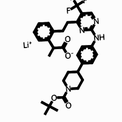 CC(C(=O)[O-])c1ccccc1CCc1nc(Nc2ccc(C3CCN(C(=O)OC(C)(C)C)CC3)cc2)ncc1C(F)(F)F.[Li+]